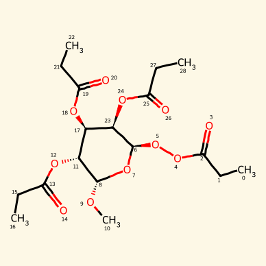 CCC(=O)OO[C@H]1O[C@H](OC)[C@H](OC(=O)CC)[C@@H](OC(=O)CC)[C@H]1OC(=O)CC